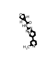 Cc1cc(-c2ccc3nc(NC(=O)C4[C@H]5COC[C@@H]45)nn3c2)ccn1